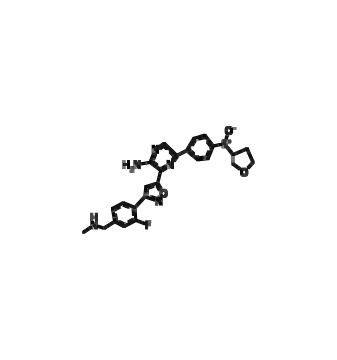 CNCc1ccc(-c2cc(-c3nc(-c4ccc([S+]([O-])C5CCOC5)cc4)cnc3N)on2)c(F)c1